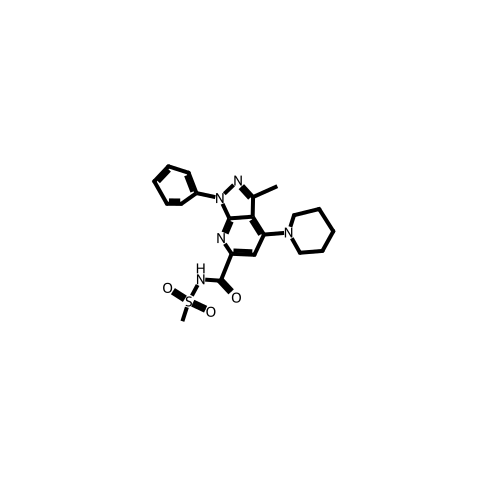 Cc1nn(-c2ccccc2)c2nc(C(=O)NS(C)(=O)=O)cc(N3CCCCC3)c12